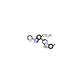 Cc1cccc(N2CC=C(c3c(C(=O)O)ccc4c3cnn4C3CCCCO3)CC2C(C)(C)C)c1